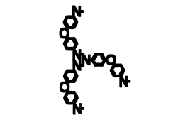 CN(C)c1ccc(Oc2ccc(N3CN(c4ccc(Oc5ccc(N(C)C)cc5)cc4)CN(c4ccc(Oc5ccc(N(C)C)cc5)cc4)C3)cc2)cc1